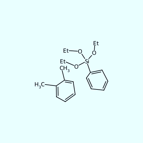 CCO[Si](OCC)(OCC)c1ccccc1.Cc1ccccc1C